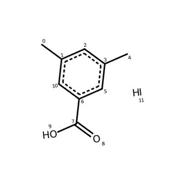 Cc1cc(C)cc(C(=O)O)c1.I